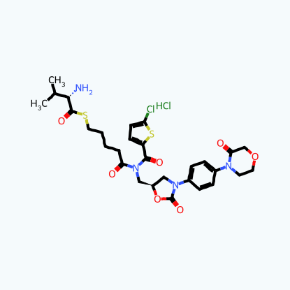 CC(C)[C@H](N)C(=O)SCCCCC(=O)N(C[C@H]1CN(c2ccc(N3CCOCC3=O)cc2)C(=O)O1)C(=O)c1ccc(Cl)s1.Cl